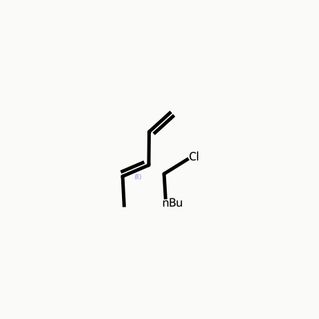 C=C/C=C/C.CCCCCCl